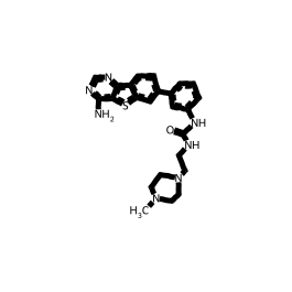 CN1CCN(CCNC(=O)Nc2cccc(-c3ccc4c(c3)sc3c(N)ncnc34)c2)CC1